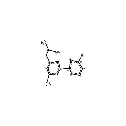 Cc1cc(CC(C)C)cc(-c2cccc(Br)c2)c1